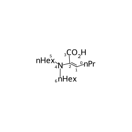 CCC/C=C(\C(=O)O)N(CCCCCC)CCCCCC